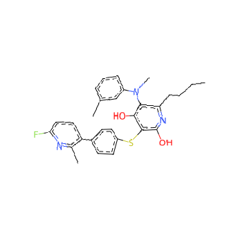 CCCCc1nc(O)c(Sc2ccc(-c3ccc(F)nc3C)cc2)c(O)c1N(C)c1cccc(C)c1